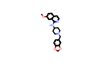 COc1ccc2ccnc(NC3CCN(Cc4ccc5c(c4)OCO5)CC3)c2c1